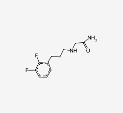 NC(=O)CNCCCc1cccc(F)c1F